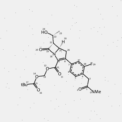 CNC(=O)Cc1ccc(C2=C(C(=O)OCOC(=O)C(C)(C)C)N3C(=O)[C@H]([C@@H](C)O)[C@H]3C2)cc1F